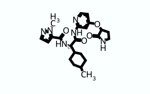 CC1CCC([C@H](NC(=O)c2ccnn2C)C(=O)Nc2cc(OC3CCNC3=O)ccn2)CC1